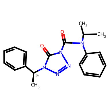 CC(C)N(C(=O)n1nnn([C@@H](C)c2ccccc2)c1=O)c1ccccc1